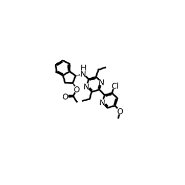 CCc1nc(-c2ncc(OC)cc2Cl)c(CC)nc1N[C@H]1c2ccccc2C[C@@H]1OC(C)=O